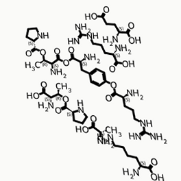 C[C@@H](OC(=O)[C@@H]1CCCN1)[C@H](N)C(=O)O.C[C@@H](OC(=O)[C@@H]1CCCN1)[C@H](N)C(=O)OC(=O)[C@@H](N)Cc1ccc(OC(=O)[C@@H](N)CCCNC(=N)N)cc1.C[C@H](N)C(=O)O.N=C(N)NCCC[C@H](N)C(=O)O.NCCCC[C@H](N)C(=O)O.N[C@@H](CCC(=O)O)C(=O)O